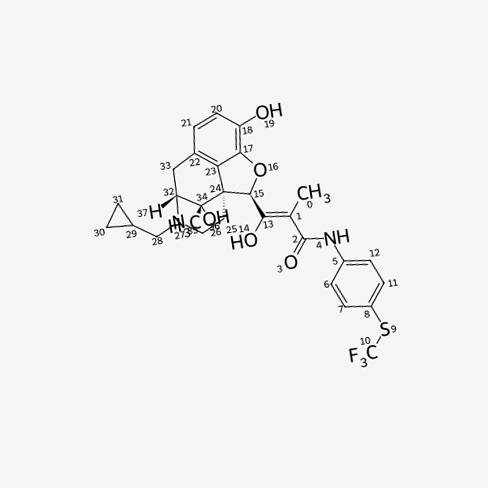 C/C(C(=O)Nc1ccc(SC(F)(F)F)cc1)=C(/O)[C@@H]1Oc2c(O)ccc3c2[C@@]12CCN(CC1CC1)[C@H](C3)[C@@]2(C)O